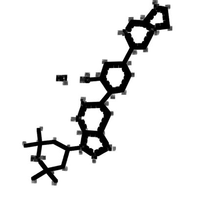 CC1(C)CC(n2nnc3cc(-c4ccc(-c5cn6ccnc6cn5)cc4O)nnc32)CC(C)(C)N1.Cl